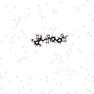 CNC(=O)c1cccc(-c2ccc(C(=O)NCCc3c(C)[nH]c4c(F)ccc(C)c34)nc2)c1